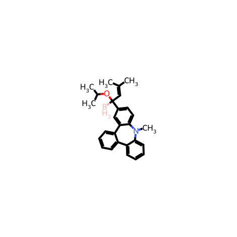 BC(C=C(C)C)(OC(C)C)c1ccc2c(c1)-c1ccccc1-c1ccccc1N2C